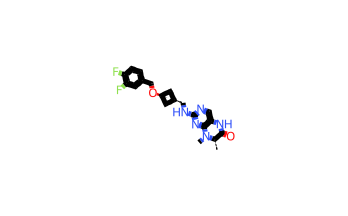 C[C@H]1C(=O)Nc2cnc(NC[C@H]3C[C@H](OCc4ccc(F)c(F)c4)C3)nc2N1C